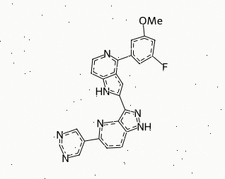 COc1cc(F)cc(-c2nccc3[nH]c(-c4n[nH]c5ccc(-c6cncnc6)nc45)cc23)c1